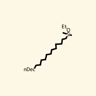 CCCCCCCCCCCCCCCCCCCCCC[Si](C)(C)OCC